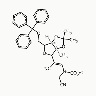 CCOC(=O)N(C=C(C#N)C1OC(COC(c2ccccc2)(c2ccccc2)c2ccccc2)[C@H]2OC(C)(C)O[C@@]12C)CC#N